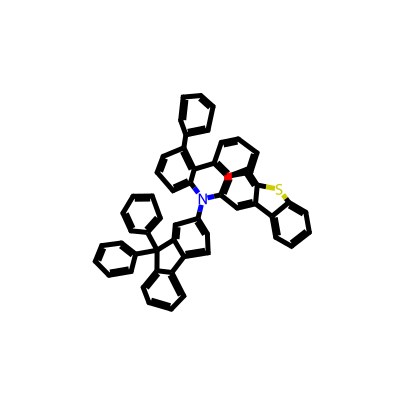 c1ccc(-c2cccc(N(c3ccc4c(c3)C(c3ccccc3)(c3ccccc3)c3ccccc3-4)c3ccc4sc5ccccc5c4c3)c2-c2ccccc2)cc1